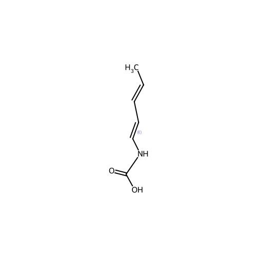 CC=C/C=C/NC(=O)O